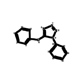 c1ccc(Oc2nnnn2-c2ccccc2)cc1